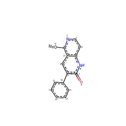 COc1nccc2[nH]c(=O)c(-c3ccccc3)cc12